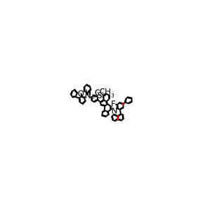 C[Si]1(C)c2cc(N(c3ccccc3)c3cccc4c3oc3ccccc34)ccc2-c2cc3c4ccccc4c(N(c4ccccc4)c4c(F)cc(-c5ccccc5)cc4-c4ccccc4)cc3c3cccc1c23